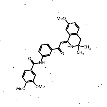 COc1ccc2c(c1)/C(=C/C(=O)c1cccc(NC(=O)c3ccc(OC)c(OC)c3)c1)NC(C)(C)C2